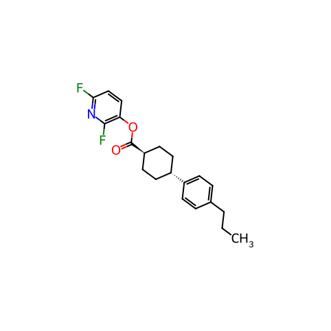 CCCc1ccc([C@H]2CC[C@H](C(=O)Oc3ccc(F)nc3F)CC2)cc1